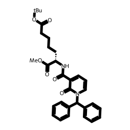 COC(=O)[C@H](CCCCC(=O)OC(C)(C)C)NC(=O)c1cccn(C(c2ccccc2)c2ccccc2)c1=O